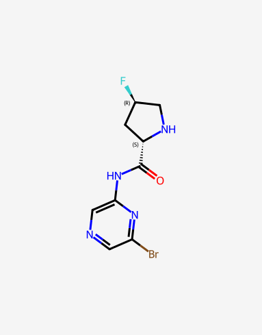 O=C(Nc1cncc(Br)n1)[C@@H]1C[C@@H](F)CN1